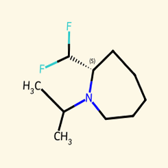 CC(C)N1CCCCC[C@H]1C(F)F